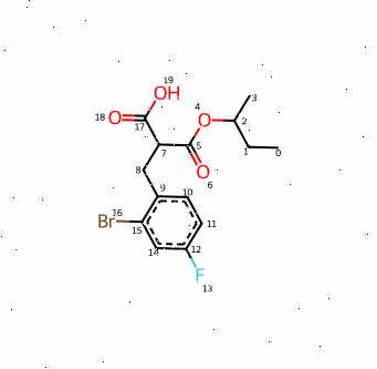 CCC(C)OC(=O)C(Cc1ccc(F)cc1Br)C(=O)O